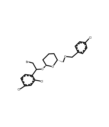 Clc1ccc(COC[C@H]2CCC[C@H](OC(CBr)c3ccc(Cl)cc3Cl)O2)cc1